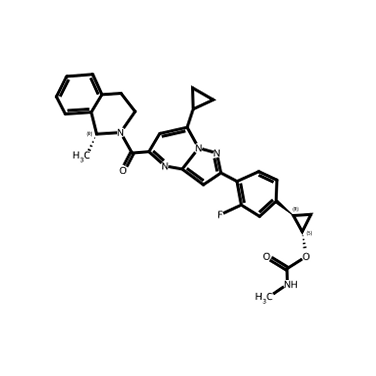 CNC(=O)O[C@H]1C[C@@H]1c1ccc(-c2cc3nc(C(=O)N4CCc5ccccc5[C@H]4C)cc(C4CC4)n3n2)c(F)c1